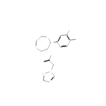 O=C(CN1C=NCN1)N[C@@H]1CNCCO[C@H]1c1ccc(Cl)c(Cl)c1